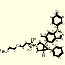 COCCOCCS(=O)(=O)N1C[C@H]2[C@H](c3ccccc3)[C@@]2(c2cc3cnn(-c4ccc(F)cc4)c3cc2C)C1